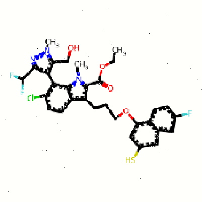 CCOC(=O)c1c(CCCOc2cc(S)cc3cc(F)ccc23)c2ccc(Cl)c(-c3c(C(F)F)nn(C)c3CO)c2n1C